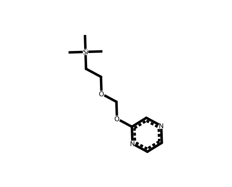 C[Si](C)(C)CCOCOc1cnccn1